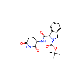 CC(C)(C)OC(=O)N1Cc2ccccc2C1C(=O)NC1CCC(=O)NC1=O